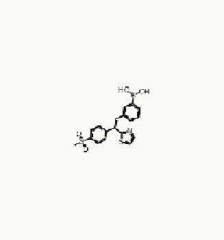 CS(=O)(=O)c1ccc(/C(=C/c2cccc(B(O)O)c2)c2nccs2)cc1